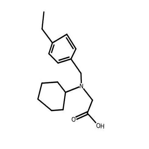 CCc1ccc(CN(CC(=O)O)C2CCCCC2)cc1